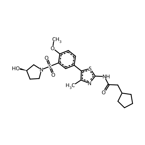 COc1ccc(-c2sc(NC(=O)CC3CCCC3)nc2C)cc1S(=O)(=O)N1CC[C@@H](O)C1